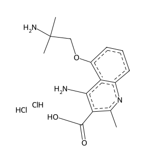 Cc1nc2cccc(OCC(C)(C)N)c2c(N)c1C(=O)O.Cl.Cl